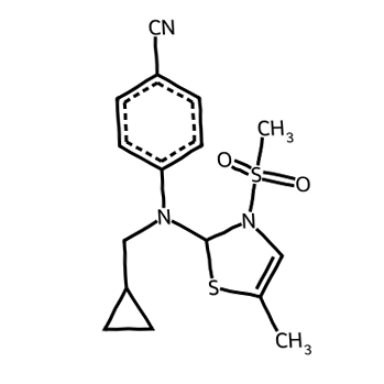 CC1=CN(S(C)(=O)=O)C(N(CC2CC2)c2ccc(C#N)cc2)S1